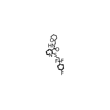 O=C(NCC1CCCCO1)c1cccnc1SCCC(F)(F)c1ccc(F)cc1